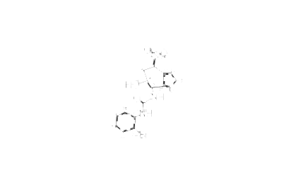 O=C(NC1=C(O)CC(=S(=O)=O)c2ccsc21)Nc1ccccc1Br